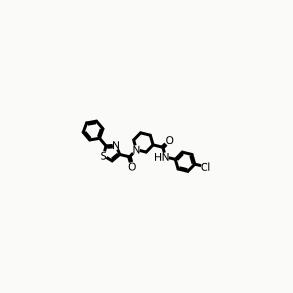 O=C(Nc1ccc(Cl)cc1)C1CCCN(C(=O)c2csc(-c3ccccc3)n2)C1